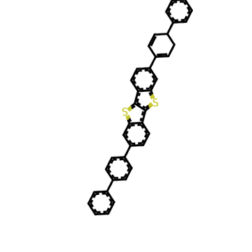 C1=CC(c2ccccc2)CC=C1c1ccc2c(c1)sc1c3ccc(-c4ccc(-c5ccccc5)cc4)cc3sc21